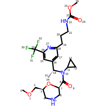 COC[C@@H]1CNC[C@H](C(=O)N(C2CC2)[C@H](C)c2cc(CCCNC(=O)OC)nc(C(F)(F)F)c2)O1